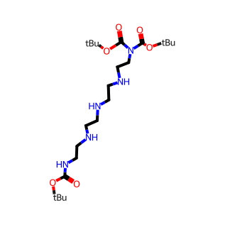 CC(C)(C)OC(=O)NCCNCCNCCNCCN(C(=O)OC(C)(C)C)C(=O)OC(C)(C)C